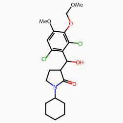 COCOc1c(OC)cc(Cl)c(C(O)C2CCN(C3CCCCC3)C2=O)c1Cl